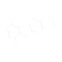 Bc1ccc(I)cc1Cc1ccc2c(c1)OCCO2